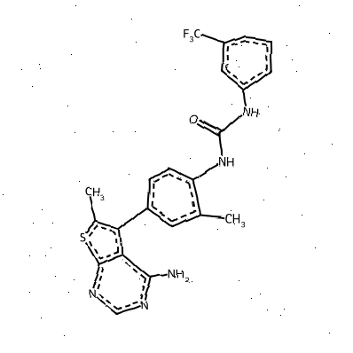 Cc1cc(-c2c(C)sc3ncnc(N)c23)ccc1NC(=O)Nc1cccc(C(F)(F)F)c1